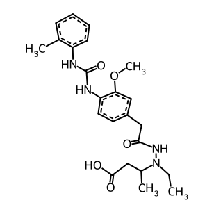 CCN(NC(=O)Cc1ccc(NC(=O)Nc2ccccc2C)c(OC)c1)C(C)CC(=O)O